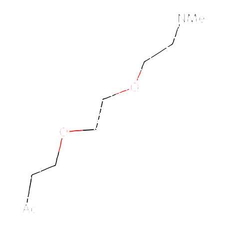 CNCCOCCOCCC(C)=O